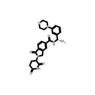 O=C1CCC(N2Cc3cc(C(=O)N[C@H](c4cccc(N5CCOCC5)c4)C(F)(F)F)ccc3C2=O)C(=O)N1